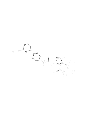 COc1cccc(-c2ccc(NC(=O)Cn3cnc4c3C(=O)N(C)C(O)N4C)cc2)c1